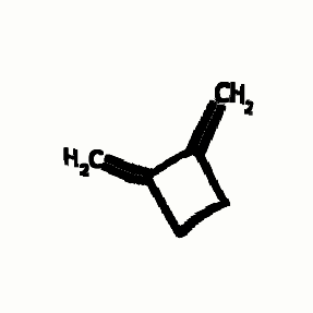 C=C1CCC1=C